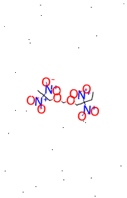 CCC(COCOCC(C)([N+](=O)[O-])[N+](=O)[O-])([N+](=O)[O-])[N+](=O)[O-]